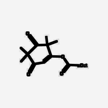 CCCCCCCCC(=O)OC1=CC(=O)C(C)(C)C(=O)C1(C)C